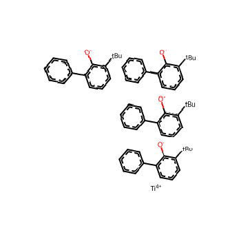 CC(C)(C)c1cccc(-c2ccccc2)c1[O-].CC(C)(C)c1cccc(-c2ccccc2)c1[O-].CC(C)(C)c1cccc(-c2ccccc2)c1[O-].CC(C)(C)c1cccc(-c2ccccc2)c1[O-].[Ti+4]